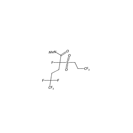 CNC(=O)C(F)(CCC(F)(F)C(F)(F)F)S(=O)(=O)CCC(F)(F)F